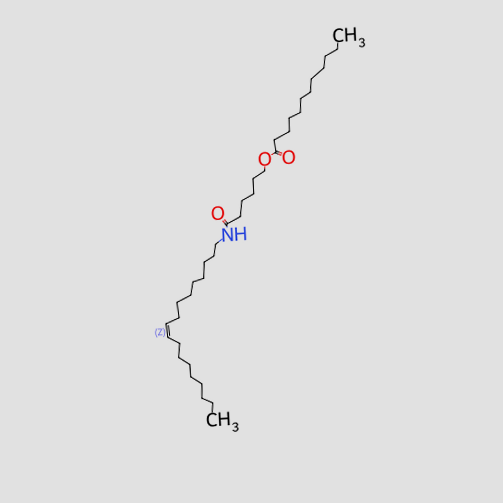 CCCCCCCC/C=C\CCCCCCCCNC(=O)CCCCCOC(=O)CCCCCCCCCCC